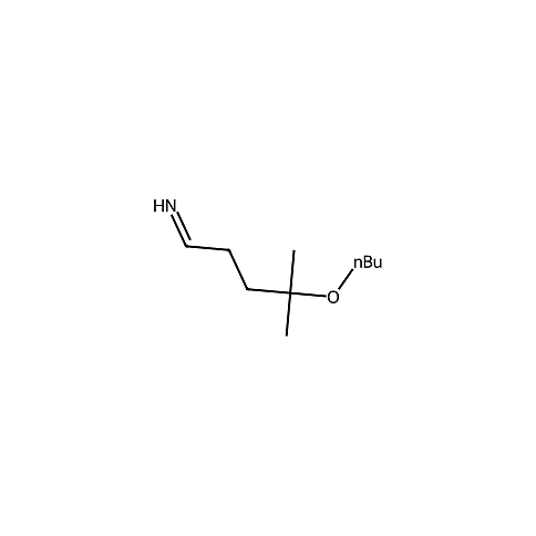 CCCCOC(C)(C)CCC=N